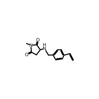 C=Cc1ccc(CNC2CC(=O)N(C)C2=O)cc1